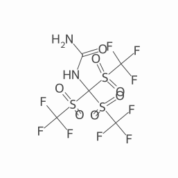 NC(=O)NC(S(=O)(=O)C(F)(F)F)(S(=O)(=O)C(F)(F)F)S(=O)(=O)C(F)(F)F